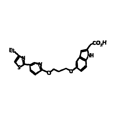 CCc1csc(-c2ccc(OCCCOc3ccc4[nH]c(CC(=O)O)cc4c3)nc2)n1